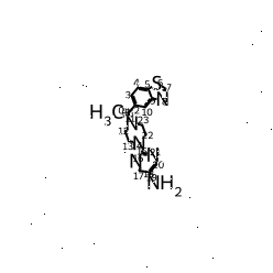 C[C@H](c1ccc2scnc2c1)N1CCN(c2ncc(N)cn2)CC1